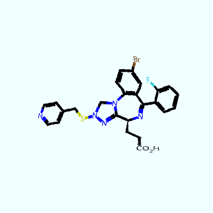 O=C(O)CC[C@@H]1N=C(c2ccccc2F)c2cc(Br)ccc2N2CN(SCc3ccncc3)N=C12